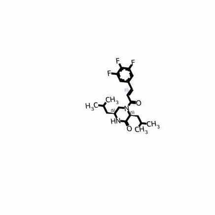 CC(C)C[C@H]1CN(C(=O)/C=C/c2cc(F)c(F)c(F)c2)[C@@H](CC(C)C)C(=O)N1